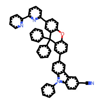 N#Cc1ccc2c(c1)c1cc(-c3ccc4c(c3)C(c3ccccc3)(c3ccccc3)c3cc(-c5cccc(-c6ccccn6)n5)ccc3O4)ccc1n2-c1ccccc1